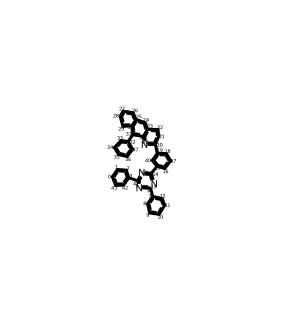 c1ccc(-c2nc(-c3ccccc3)nc(-c3cccc(-c4ccc5cc6ccccc6c(-c6ccccc6)c5n4)c3)n2)cc1